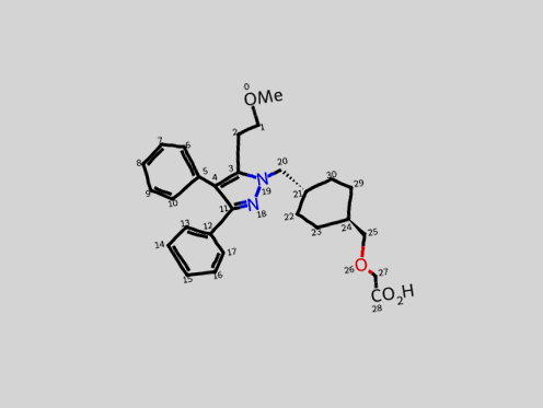 COCCc1c(-c2ccccc2)c(-c2ccccc2)nn1C[C@H]1CC[C@H](COCC(=O)O)CC1